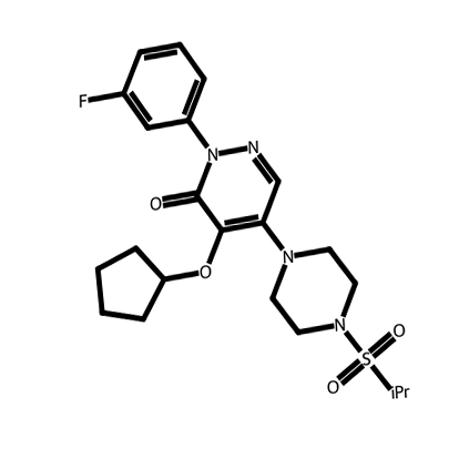 CC(C)S(=O)(=O)N1CCN(c2cnn(-c3cccc(F)c3)c(=O)c2OC2CCCC2)CC1